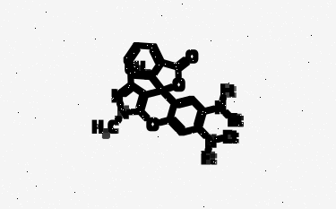 CCN(CC)c1cc2c(cc1N(CC)CC)C1(OC(=O)c3ccccc31)c1c(C)nn(C)c1O2